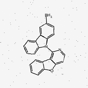 Bc1ccc2c(c1)c1ccccc1n2-c1nccc2oc3ccccc3c12